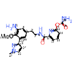 COc1c(N)cc(CCNC(=O)c2cccc(OC(N)=O)n2)cc1-c1ccn(C)n1